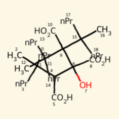 CCCC(C)(CCC)C(C(=O)O)C(O)(C(=O)O)C(C(=O)O)(C(C)(CCC)CCC)C(C)(CCC)CCC